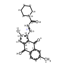 Cc1ccc2c(c1)C(=O)c1c(n[n+]([O-])n1/N=N/C(=O)N1CCCCC1)C2=O